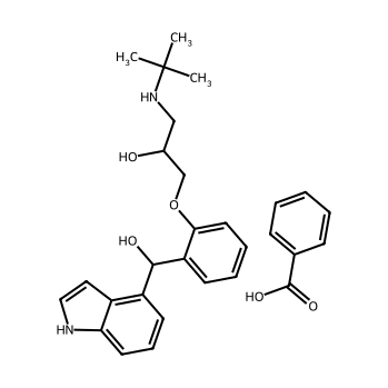 CC(C)(C)NCC(O)COc1ccccc1C(O)c1cccc2[nH]ccc12.O=C(O)c1ccccc1